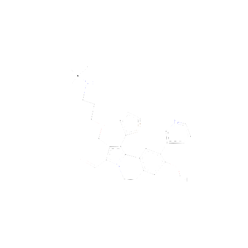 COc1cc2c(cc1-c1cccnc1)-c1c(-c3cccs3)c(COCCCNC(C)(C)C)c(C=O)n1CC2